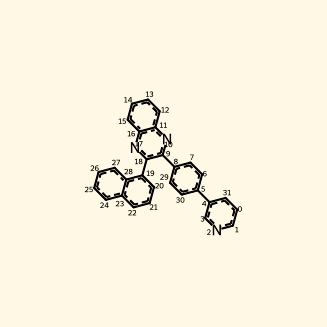 c1cncc(-c2ccc(-c3nc4ccccc4nc3-c3cccc4ccccc34)cc2)c1